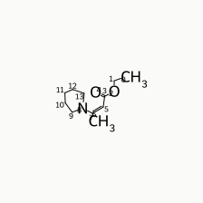 CCOC(=O)/C=C(/C)N1CCCCC1